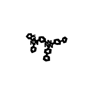 c1ccc(-c2ccc(-c3nc(-c4ccc(-c5ccccc5)cc4)nc(-c4cccc(-c5nc(-c6ccccc6)nc6c5sc5ccccc56)c4)n3)cc2)cc1